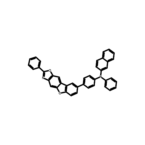 c1ccc(-c2nc3cc4oc5ccc(-c6ccc(N(c7ccccc7)c7ccc8ccccc8c7)cc6)cc5c4cc3o2)cc1